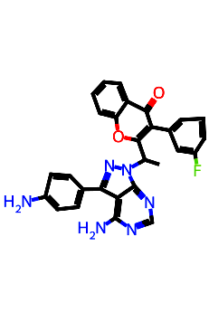 CC(c1oc2ccccc2c(=O)c1-c1cccc(F)c1)n1nc(-c2ccc(N)cc2)c2c(N)ncnc21